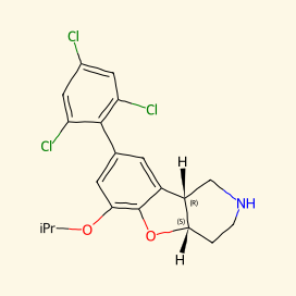 CC(C)Oc1cc(-c2c(Cl)cc(Cl)cc2Cl)cc2c1O[C@H]1CCNC[C@@H]21